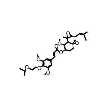 COc1cc(/C=C/C(=O)O[C@@H]2CC[C@]3(CO3)C(C3(C)O[C@H]3CC=C(C)C)[C@@H]2OC)cc(OC)c1OCCOC(C)C